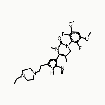 C=Nc1[nH]c(CCN2CCN(CC)CC2)cc1C1=C(C)CN(c2c(F)c(OC)cc(OC)c2F)C(=O)N1C